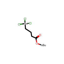 CCCCOC(=O)CC[CH2][Sn]([Cl])([Cl])[Cl]